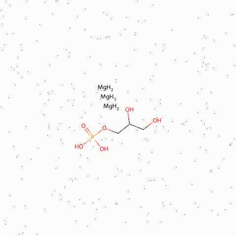 O=P(O)(O)OCC(O)CO.[MgH2].[MgH2].[MgH2]